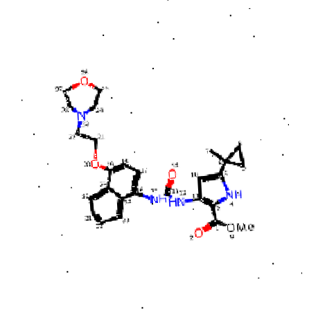 COC(=O)c1[nH]c(C2(C)CC2)cc1NC(=O)Nc1ccc(OCCN2CCOCC2)c2ccccc12